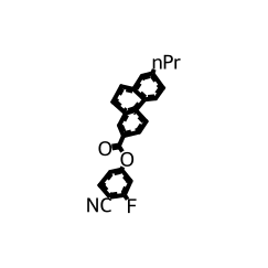 CCCc1ccc2c(ccc3cc(C(=O)Oc4ccc(C#N)c(F)c4)ccc32)c1